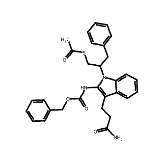 CC(=O)SCC(Cc1ccccc1)n1c(NC(=O)OCc2ccccc2)c(CCC(N)=O)c2ccccc21